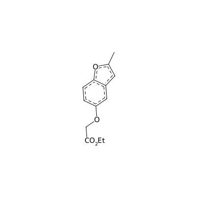 CCOC(=O)COc1ccc2oc(C)cc2c1